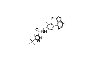 Cc1cc(-c2ncnn3ccc(F)c23)ccc1CNC(=O)c1noc(C(C)(C)C)n1